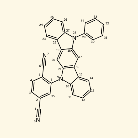 N#Cc1ccc(C#N)c(-n2c3ccccc3c3cc4c(cc32)c2ccccc2n4-c2ccccc2)c1